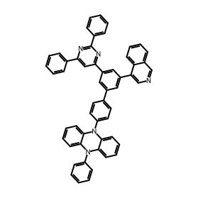 c1ccc(-c2cc(-c3cc(-c4ccc(N5c6ccccc6N(c6ccccc6)c6ccccc65)cc4)cc(-c4cncc5ccccc45)c3)nc(-c3ccccc3)n2)cc1